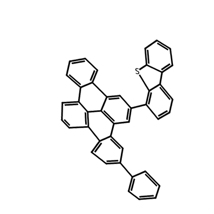 c1ccc(-c2ccc3c(c2)c2cc(-c4cccc5c4sc4ccccc45)cc4c5ccccc5c5cccc3c5c42)cc1